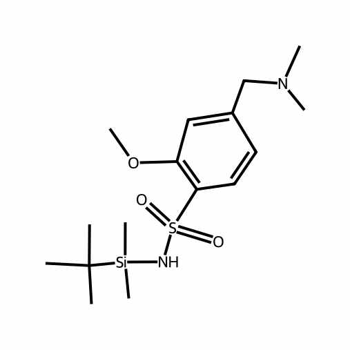 COc1cc(CN(C)C)ccc1S(=O)(=O)N[Si](C)(C)C(C)(C)C